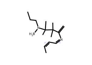 BN(CCC)C(C)(C)C(C)(C)C(=C)/N=C\C=C/C